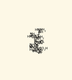 CC(C)C[C@H](NC(=O)[C@H](Cc1c[nH]cn1)NC(=O)[C@H](Cc1ccccc1)NC(=O)[C@H](CCCNC(=N)N)NC(=O)[C@@H](N)CCCNC(=N)N)C(=O)N[C@@H](CC(C)C)C(=O)N1CCC[C@H]1C(=O)O